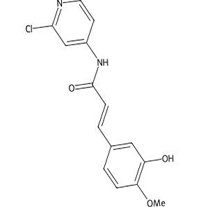 COc1ccc(/C=C/C(=O)Nc2ccnc(Cl)c2)cc1O